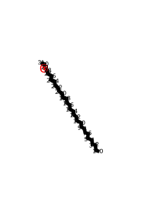 CCCCCCCCCCCCCCCCCCCCCCCCCCCC[CH]OCC